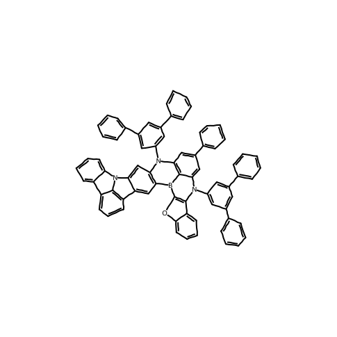 c1ccc(-c2cc(-c3ccccc3)cc(N3c4cc5c(cc4B4c6oc7ccccc7c6N(c6cc(-c7ccccc7)cc(-c7ccccc7)c6)c6cc(-c7ccccc7)cc3c64)c3cccc4c6ccccc6n5c43)c2)cc1